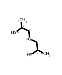 CC(S)COCC(C)S